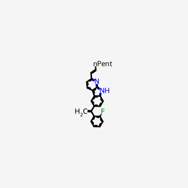 C=C(c1ccc2[nH]c3nc(C=CCCCCC)ccc3c2c1)c1ccccc1F